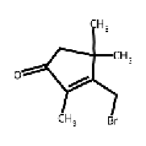 CC1=C(CBr)C(C)(C)CC1=O